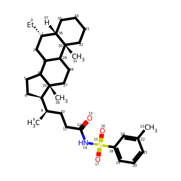 CC[C@H]1CC2C3CC[C@H]([C@H](C)CCC(=O)NS(=O)(=O)c4cccc(C)c4)[C@@]3(C)CCC2[C@@]2(C)CCCC[C@@H]12